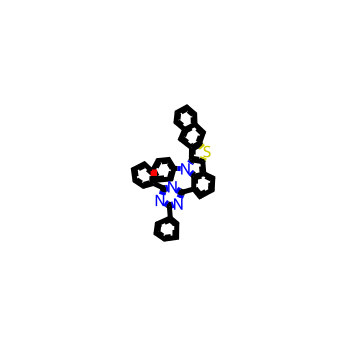 c1ccc(-c2nc(-c3ccccc3)nc(-c3cccc4c5sc6cc7ccccc7cc6c5n(-c5ccccc5)c34)n2)cc1